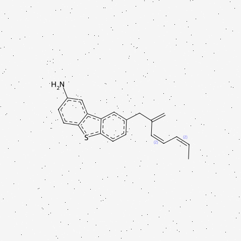 C=C(/C=C\C=C/C)Cc1ccc2sc3ccc(N)cc3c2c1